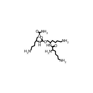 NCCCCC(COC(N)=O)NC(=O)OCC(CCCCN)NC(=O)C(N)CCCCN